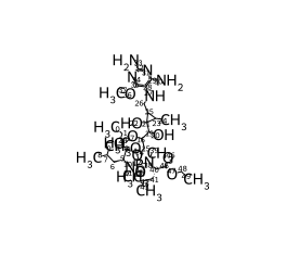 CCOC(=O)[C@H](CC(C)C)N(C)P(=O)(OCC(OC)C(O)C1(O)C(C)C1CNc1c(N)nc(N)nc1OC)N(C)[C@@H](CC(C)C)C(=O)OCC